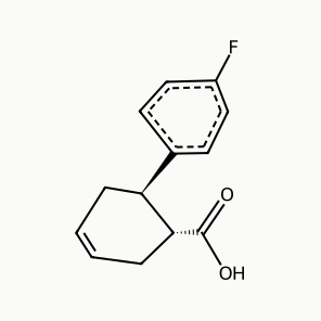 O=C(O)[C@@H]1CC=CC[C@H]1c1ccc(F)cc1